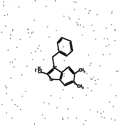 Cc1cc2[te]c(C)[n+](Cc3ccccc3)c2cc1C.[I-]